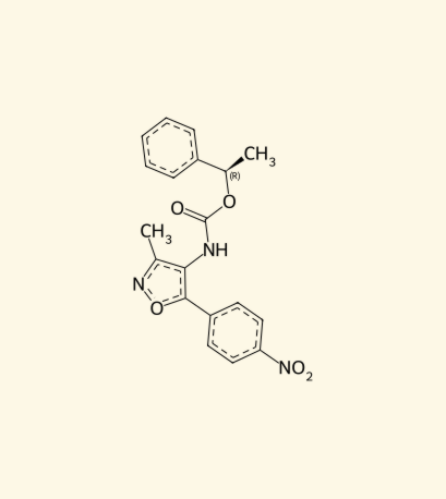 Cc1noc(-c2ccc([N+](=O)[O-])cc2)c1NC(=O)O[C@H](C)c1ccccc1